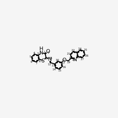 O=C1Nc2ccccc2SC1N=Cc1cccc(OCc2ccc3ccccc3n2)c1